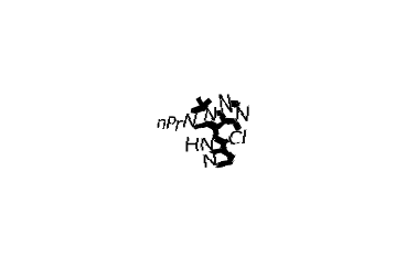 CCCN1Cc2c(-c3[nH]c4ncccc4c3Cl)c3c(C)ncnc3n2C(C)(C)C1